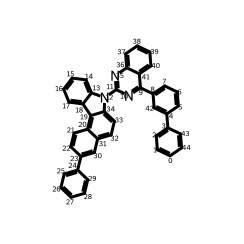 c1ccc(-c2cccc(-c3nc(-n4c5ccccc5c5c6ccc(-c7ccccc7)cc6ccc54)nc4ccccc34)c2)cc1